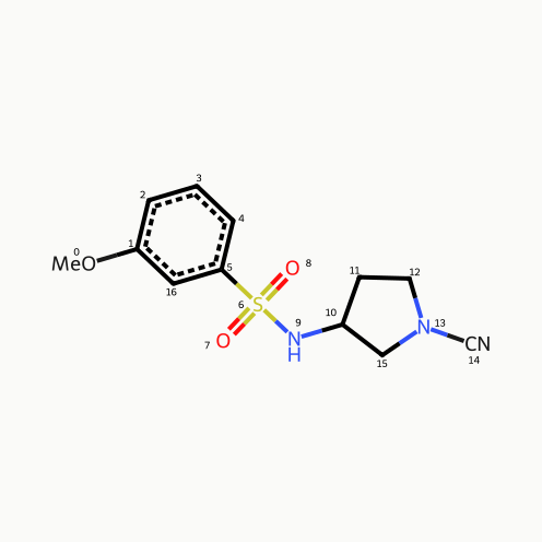 COc1cccc(S(=O)(=O)NC2CCN(C#N)C2)c1